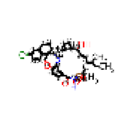 CC/C(C)=C1/C=C/[C@@H](O)[C@@H]2CC[C@H]2CN2C[C@@]3(CCCc4cc(Cl)ccc43)COc3ccc(cc32)C(=O)NS(=O)(=O)[C@@H](C)C1